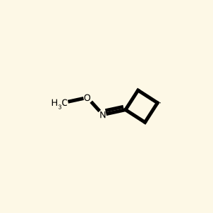 CON=C1C[CH]C1